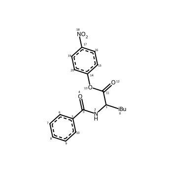 CCC(C)C(NC(=O)c1ccccc1)C(=O)Oc1ccc([N+](=O)[O-])cc1